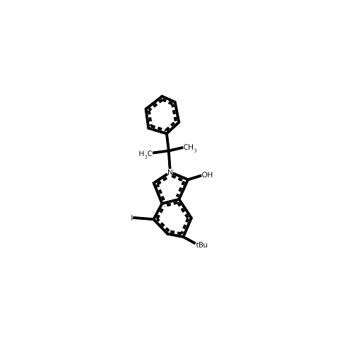 CC(C)(C)c1cc(I)c2cn(C(C)(C)c3ccccc3)c(O)c2c1